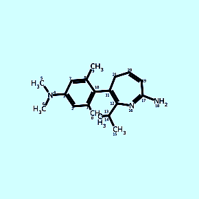 Cc1cc(N(C)C)cc(C)c1C1=C(C(C)C)N=C(N)C=CC1